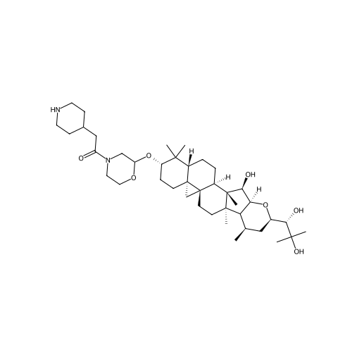 C[C@@H]1C[C@H]([C@H](O)C(C)(C)O)O[C@H]2C1[C@@]1(C)CC[C@@]34C[C@@]35CC[C@H](OC3CN(C(=O)CC6CCNCC6)CCO3)C(C)(C)[C@@H]5CC[C@H]4[C@]1(C)[C@H]2O